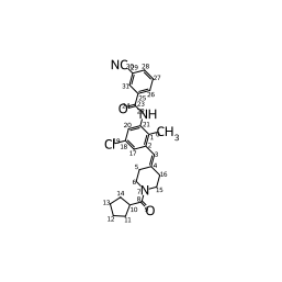 Cc1c(C=C2CCN(C(=O)C3CCCC3)CC2)cc(Cl)cc1NC(=O)c1cccc(C#N)c1